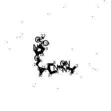 CC(C)c1noc(N2CCC([C@H]3C[C@H]3CCOc3ccc(S(C)(=O)=O)nc3)CC2)n1